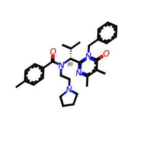 Cc1ccc(C(=O)N(CCN2CCCC2)[C@@H](c2nc(C)c(C)c(=O)n2Cc2ccccc2)C(C)C)cc1